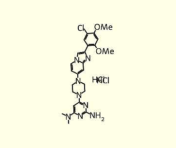 COc1cc(OC)c(-c2cn3ccc(N4CCN(c5cc(N(C)C)nc(N)n5)CC4)cc3n2)cc1Cl.Cl.Cl